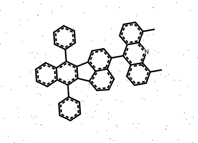 Cc1cccc2c(-c3ccc4c5c(cccc35)-c3c-4c(-c4ccccc4)c4ccccc4c3-c3ccccc3)c3cccc(C)c3nc12